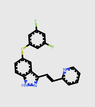 Fc1cc(F)cc(Sc2ccc3[nH]nc(/C=C/c4ccccn4)c3c2)c1